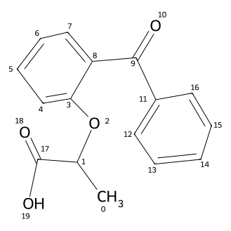 CC(Oc1ccccc1C(=O)c1ccccc1)C(=O)O